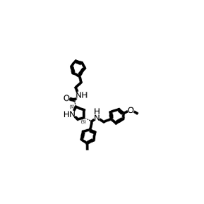 COc1ccc(CNC(c2ccc(C)cc2)[C@@H]2CN[C@H](C(=O)NCCc3ccccc3)C2)cc1